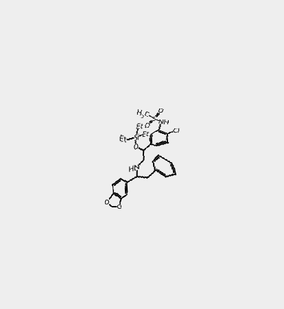 CC[Si](CC)(CC)OC(CNC(Cc1ccccc1)c1ccc2c(c1)OCO2)c1ccc(Cl)c(NS(C)(=O)=O)c1